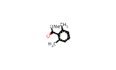 COC(=O)c1c(C)cccc1C